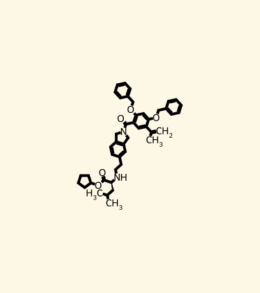 C=C(C)c1cc(C(=O)N2Cc3ccc(CCN[C@@H](CC(C)C)C(=O)OC4CCCC4)cc3C2)c(OCc2ccccc2)cc1OCc1ccccc1